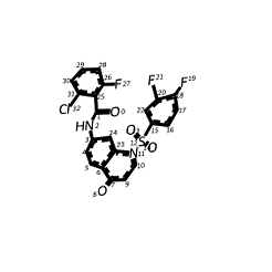 O=C(Nc1ccc2c(=O)ccn(S(=O)(=O)c3ccc(F)c(F)c3)c2c1)c1c(F)cccc1Cl